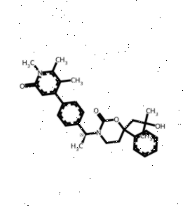 Cc1c(-c2ccc([C@H](C)N3CCC(CC(C)(C)O)(c4ccccc4)OC3=O)cc2)cc(=O)n(C)c1C